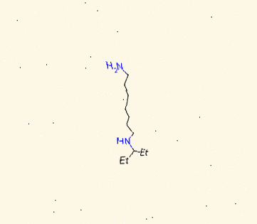 CCC(CC)NCCCCCCCN